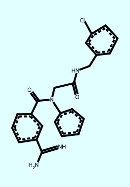 N=C(N)c1cccc(C(=O)N(CC(=O)NCc2cccc(Cl)c2)c2ccccc2)c1